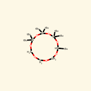 CC(C)(C)[SiH]1O[SiH2]O[SiH2]O[SiH2]O[Si](C(C)(C)C)(C(C)(C)C)O[Si](C(C)(C)C)(C(C)(C)C)O[Si](C(C)(C)C)(C(C)(C)C)O1